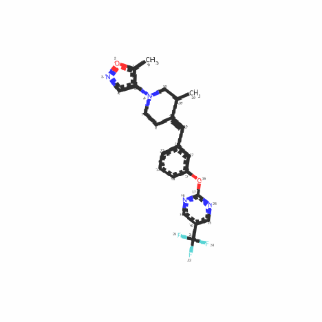 Cc1oncc1N1CCC(=Cc2cccc(Oc3ncc(C(F)(F)F)cn3)c2)C(C)C1